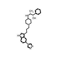 C[C@@H](NC1CCN(CCCc2c[nH]c3ccc(-n4cnnc4)cc23)CC1)[C@@H](O)c1ccccc1